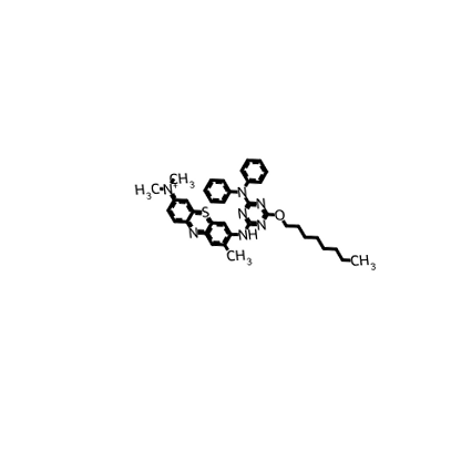 CCCCCCCCOc1nc(Nc2cc3sc4cc(=[N+](C)C)ccc-4nc3cc2C)nc(N(c2ccccc2)c2ccccc2)n1